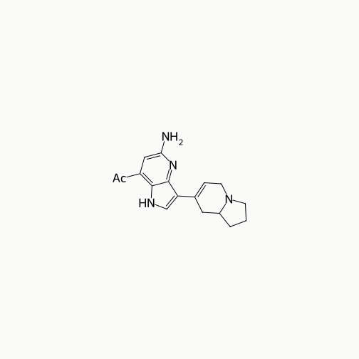 CC(=O)c1cc(N)nc2c(C3=CCN4CCCC4C3)c[nH]c12